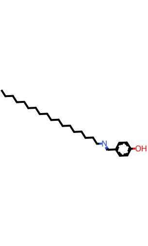 CCCCCCCCCCCCCCCCCCN=Cc1ccc(O)cc1